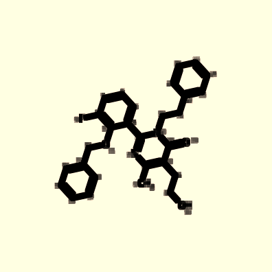 Cc1nc(-c2cccc(F)c2OCc2ccccc2)n(CCc2ccccc2)c(=O)c1CCO